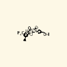 O=C(c1nn2c(C(F)(F)F)cc(C3CC3)cc2c1Cl)N1CCN(C2CC3C(CO)C3C2)C(=O)C1